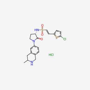 CC1Cc2cc(N3CC[C@H](NS(=O)(=O)C=Cc4ccc(Cl)s4)C3=O)ccc2CN1.Cl